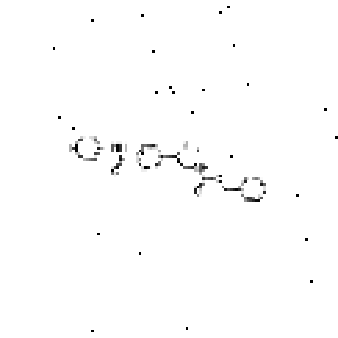 NC(CNC(=O)OCc1ccccc1)c1ccc(C(=O)Nc2ccncc2)cc1